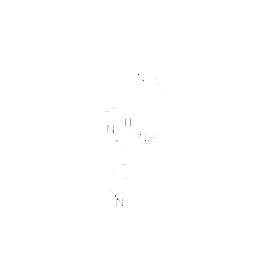 O=C1CCCN1C1CCC(Nc2ncc3c(-c4ccc5nnccc5c4)c[nH]c3n2)CC1